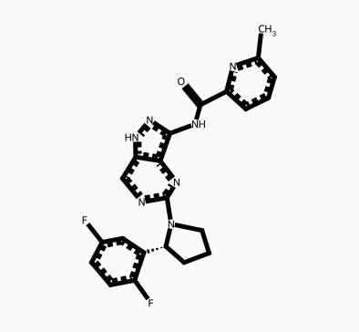 Cc1cccc(C(=O)Nc2n[nH]c3cnc(N4CCC[C@@H]4c4cc(F)ccc4F)nc23)n1